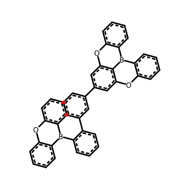 c1cc(-c2cc3c4c(c2)Oc2ccccc2B4c2ccccc2O3)cc(-c2ccccc2B2c3ccccc3Oc3ccccc32)c1